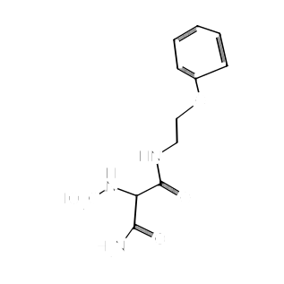 NC(=O)C(NC(=O)O)C(=O)NCCOc1ccccc1